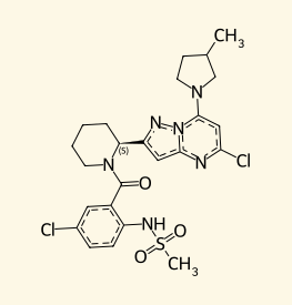 CC1CCN(c2cc(Cl)nc3cc([C@@H]4CCCCN4C(=O)c4cc(Cl)ccc4NS(C)(=O)=O)nn23)C1